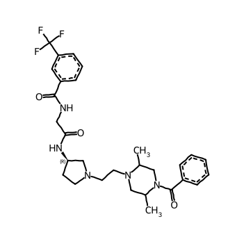 CC1CN(C(=O)c2ccccc2)C(C)CN1CCN1CC[C@@H](NC(=O)CNC(=O)c2cccc(C(F)(F)F)c2)C1